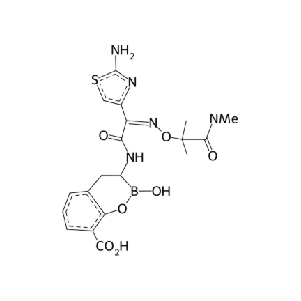 CNC(=O)C(C)(C)ON=C(C(=O)NC1Cc2cccc(C(=O)O)c2OB1O)c1csc(N)n1